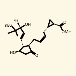 [2H][C@@](O)(/C=C/[C@H]1[C@H](O)CC(=O)[C@@H]1C/C=C\C[C@@H]1C[C@H]1C(=O)OC)C(C)(C)CCCC